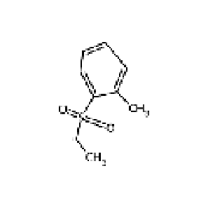 C[CH]S(=O)(=O)c1ccccc1C